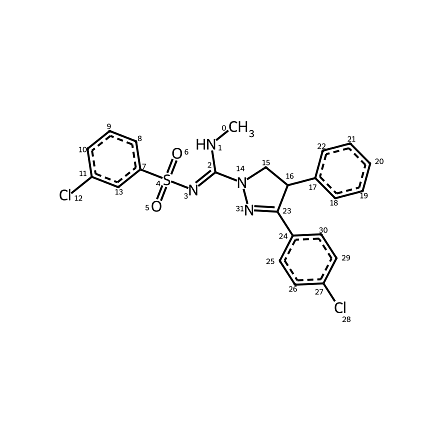 CN/C(=N\S(=O)(=O)c1cccc(Cl)c1)N1CC(c2ccccc2)C(c2ccc(Cl)cc2)=N1